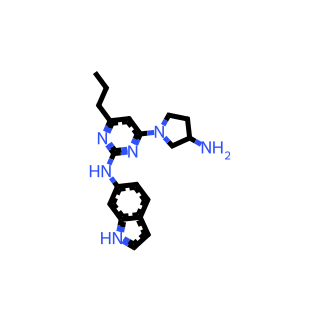 CCCc1cc(N2CCC(N)C2)nc(Nc2ccc3cc[nH]c3c2)n1